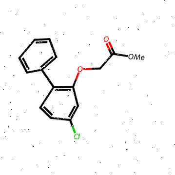 COC(=O)COc1cc(Cl)ccc1-c1ccccc1